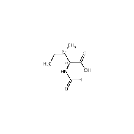 CC[C@H](C)[C@H](NC(=O)I)C(=O)O